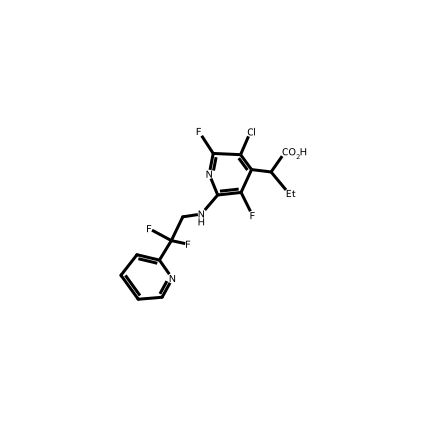 CCC(C(=O)O)c1c(F)c(NCC(F)(F)c2ccccn2)nc(F)c1Cl